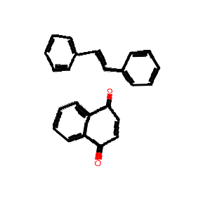 C(=Cc1ccccc1)c1ccccc1.O=C1C=CC(=O)c2ccccc21